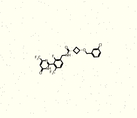 O=c1cc(C(F)(F)F)nc(-c2c(C(F)(F)F)ccc(CNC(=O)[C@H]3C[C@@H](OCc4cccc(Cl)c4)C3)c2F)[nH]1